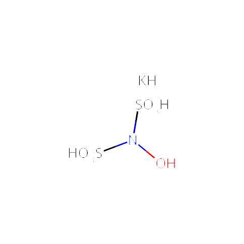 O=S(=O)(O)N(O)S(=O)(=O)O.[KH]